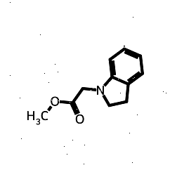 COC(=O)CN1CCc2cc[c]cc21